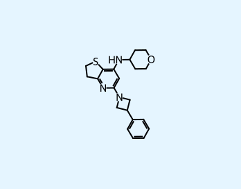 c1ccc(C2CN(c3cc(NC4CCOCC4)c4c(n3)CCS4)C2)cc1